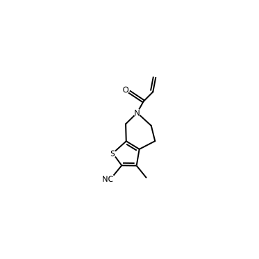 C=CC(=O)N1CCc2c(sc(C#N)c2C)C1